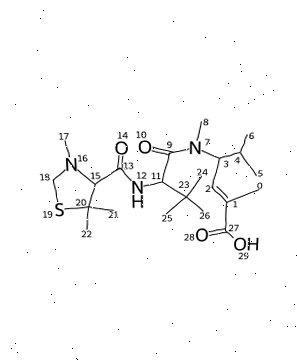 C/C(=C\C(C(C)C)N(C)C(=O)C(NC(=O)C1N(C)CSC1(C)C)C(C)(C)C)C(=O)O